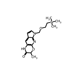 CC1Oc2nc3c(ccn3COCC[Si](C)(C)C)cc2NC1=O